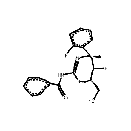 C[C@]1(c2ccccc2F)N=C(NC(=O)c2ccccc2)S[C@H](CO)[C@@H]1F